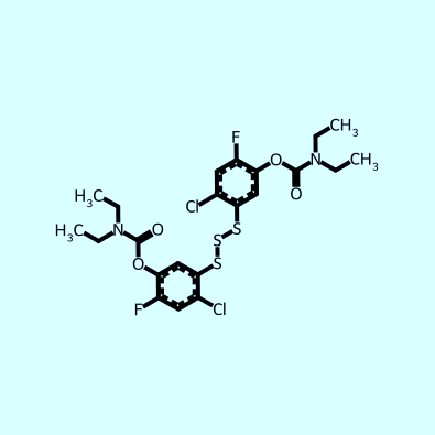 CCN(CC)C(=O)Oc1cc(SSSc2cc(OC(=O)N(CC)CC)c(F)cc2Cl)c(Cl)cc1F